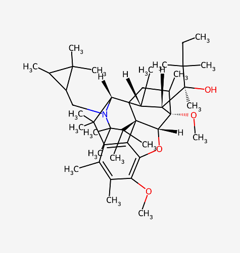 CCC(C)(C)[C@@](C)(O)[C@H]1[C@@H](C)C23CC(C)[C@@]1(OC)[C@@H]1Oc4c(OC)c(C)c(C)c5c4[C@@]12C(C)(C)C(C)(C)N(CC1C(C)C1(C)C)[C@@H]3C5(C)C